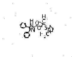 Cn1ccnc1SC[C@]1(C)CO[C@H](c2nc(-c3ccccc3)c(-c3ccccc3)[nH]2)OC1